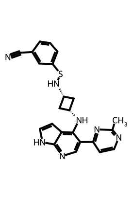 Cc1nccc(-c2cnc3[nH]ccc3c2N[C@H]2C[C@@H](NSc3cccc(C#N)c3)C2)n1